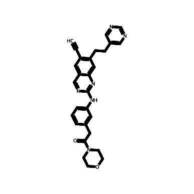 C#Cc1cc2cnc(Nc3cccc(CC(=O)N4CCOCC4)c3)nc2cc1CCc1cncnc1